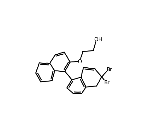 OCCOc1ccc2ccccc2c1-c1cccc2c1C=CC(Br)(Br)C2